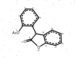 CC(=O)Oc1ccccc1C1C(=O)Oc2ccccc21